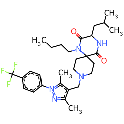 CCCCN1C(=O)C(CC(C)C)NC(=O)C12CCN(Cc1c(C)nn(-c3ccc(C(F)(F)F)cc3)c1C)CC2